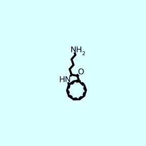 NCCCCC1Nc2cccccccc(c2)C1=O